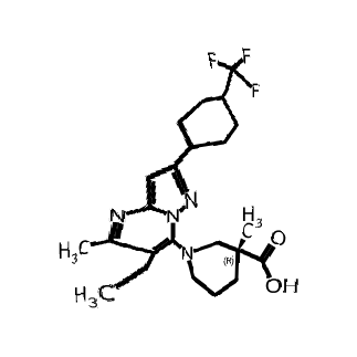 CCc1c(C)nc2cc(C3CCC(C(F)(F)F)CC3)nn2c1N1CCC[C@@](C)(C(=O)O)C1